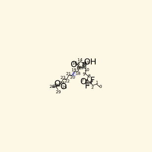 CCCC(F)(F)C(=O)CCC[C@H]1[C@H](O)CC(=O)[C@@H]1C/C=C/CCCC(=O)OC(C)C